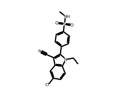 CCn1c(-c2ccc(S(=O)(=O)NC)cc2)c(C#N)c2cc(Cl)ccc21